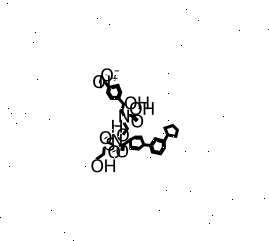 O=C(O)N(CCOC1(C(=O)NS(=O)(=O)CCCO)C=CC(c2cccc(C3CCCC3)c2)C=C1)C[C@H](O)c1ccc([N+](=O)[O-])cc1